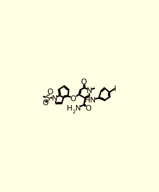 Cn1c(Nc2ccc(I)cc2)c(C(N)=O)c(Oc2cccc3c2ccn3S(C)(=O)=O)cc1=O